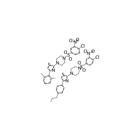 CCCc1ccc(-c2csc(N3CCN(S(=O)(=O)c4ccc(Cl)c([N+](=O)[O-])c4)CC3)n2)cc1.Cc1cccc(C)c1-c1csc(N2CCN(S(=O)(=O)c3ccc(Cl)c([N+](=O)[O-])c3)CC2)n1